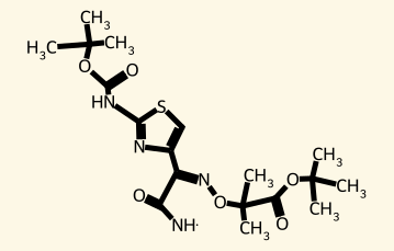 CC(C)(C)OC(=O)Nc1nc(C(=NOC(C)(C)C(=O)OC(C)(C)C)C([NH])=O)cs1